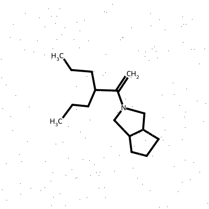 C=C(C(CCC)CCC)N1CC2CCCC2C1